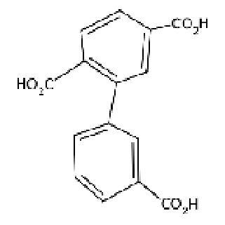 O=C(O)c1cccc(-c2cc(C(=O)O)ccc2C(=O)O)c1